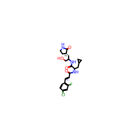 O=C(/C=C/c1ccc(Cl)cc1F)NC(CC1CC1)C(=O)NC(CO)C[C@@H]1CCNC1=O